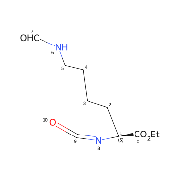 CCOC(=O)[C@H](CCCCNC=O)N=C=O